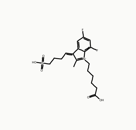 CC1=[N+](CCCCCC(=O)O)c2c(F)cc(F)cc2/C1=C/CCCS(=O)(=O)O